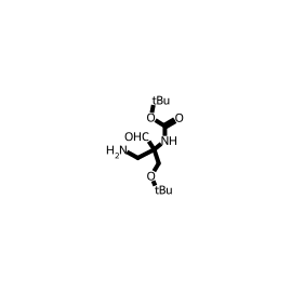 CC(C)(C)OCC(C=O)(CN)NC(=O)OC(C)(C)C